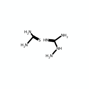 N=C(N)NN.NC(N)=S